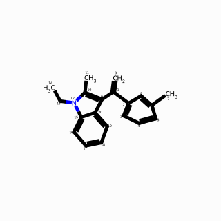 C=C(c1cccc(C)c1)c1c(C)n(CC)c2ccccc12